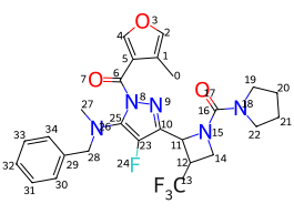 Cc1cocc1C(=O)n1nc(C2C(C(F)(F)F)CN2C(=O)N2CCCC2)c(F)c1N(C)Cc1ccccc1